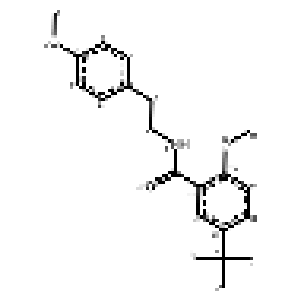 COc1ccc(CCNC(=O)c2cc(C(C)(C)C)ccc2OC)cc1